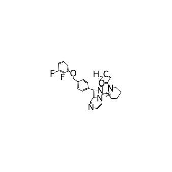 C=CC(=O)N1CCCC[C@H]1c1nc(-c2ccc(COc3cccc(F)c3F)cc2)c2cnccn12